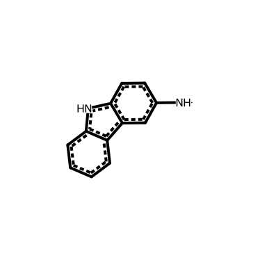 [NH]c1ccc2[nH]c3ccccc3c2c1